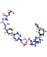 CCC(=O)N1CCN(Cc2ccc(-c3cnc(N4CCO[C@H](Cn5nnc6ncc(-c7cccc(C#N)c7)nc65)C4)nc3)cc2)CC1